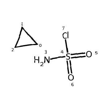 C1CC1.NS(=O)(=O)Cl